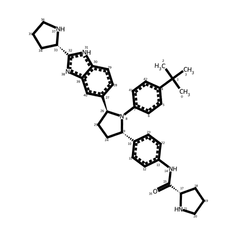 CC(C)(C)c1ccc(N2[C@H](c3ccc(NC(=O)[C@@H]4CCCN4)cc3)CC[C@H]2c2ccc3[nH]c([C@@H]4CCCN4)nc3c2)cc1